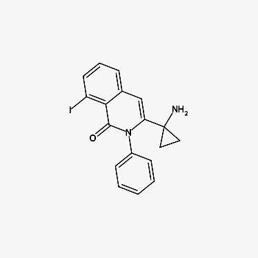 NC1(c2cc3cccc(I)c3c(=O)n2-c2ccccc2)CC1